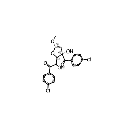 CO[C@@H]1C[C@@](O)(C(=O)c2ccc(Cl)cc2)[C@@H](C(O)C(=O)c2ccc(Cl)cc2)O1